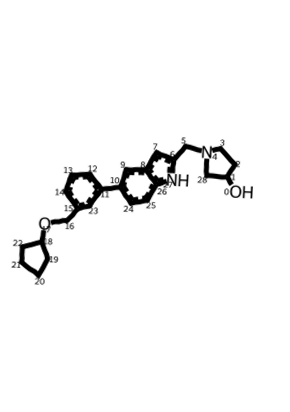 OC1CCN(Cc2cc3cc(-c4cccc(COC5CCCC5)c4)ccc3[nH]2)C1